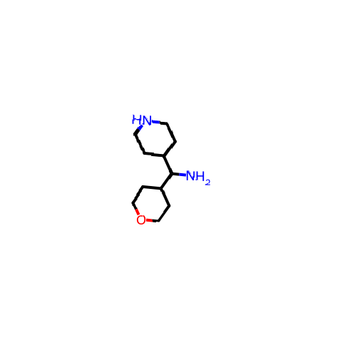 NC(C1CCNCC1)C1CCOCC1